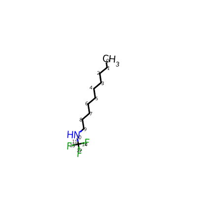 CCCCCCCCCCNC(F)(F)F